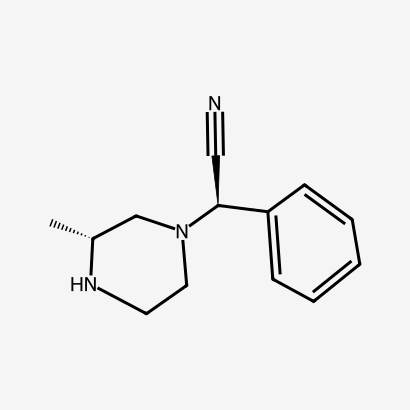 C[C@@H]1CN([C@@H](C#N)c2ccccc2)CCN1